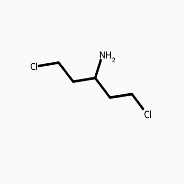 N[C](CCCl)CCCl